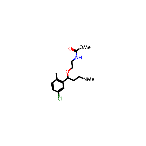 CNCCC(OCCNC(=O)OC)c1cc(Cl)ccc1C